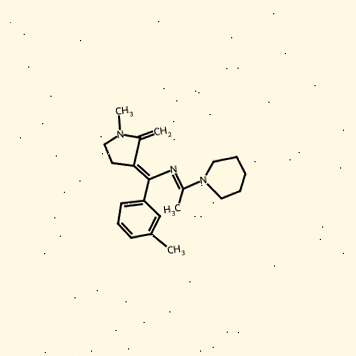 C=C1/C(=C(\N=C(/C)N2CCCCC2)c2cccc(C)c2)CCN1C